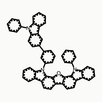 c1ccc(-n2c3ccccc3c3cc(-c4cccc(-n5c6ccccc6c6ccc7c8ccc9c%10ccccc%10n(-c%10ccccc%10)c9c8oc7c65)c4)ccc32)cc1